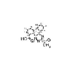 C[S+]([O-])c1nncc(-c2ccccc2-c2cccc(C(=O)O)c2)n1